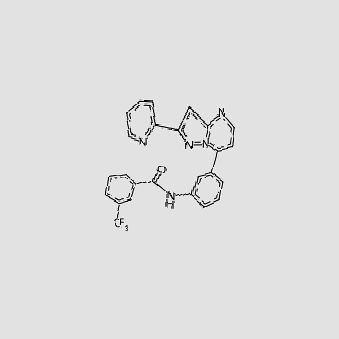 O=C(Nc1cccc(-c2ccnc3cc(-c4ccccn4)nn23)c1)c1cccc(C(F)(F)F)c1